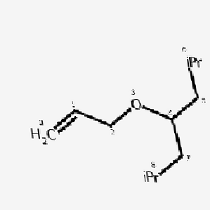 C=CCOC(CC(C)C)CC(C)C